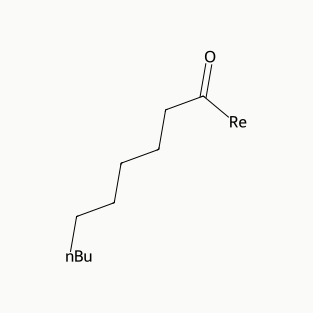 CCCCCCCCC[C](=O)[Re]